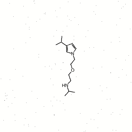 CC(C)NCCOCCn1ccc(C(C)C)c1